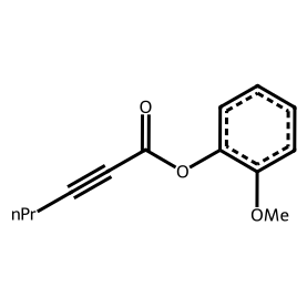 CCCC#CC(=O)Oc1ccccc1OC